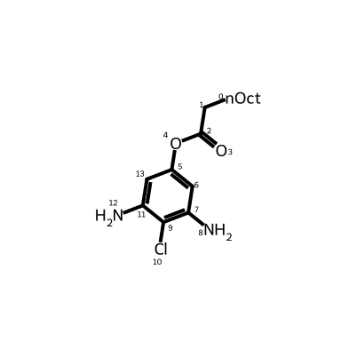 CCCCCCCCCC(=O)Oc1cc(N)c(Cl)c(N)c1